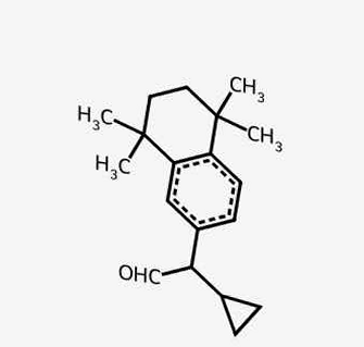 CC1(C)CCC(C)(C)c2cc(C(C=O)C3CC3)ccc21